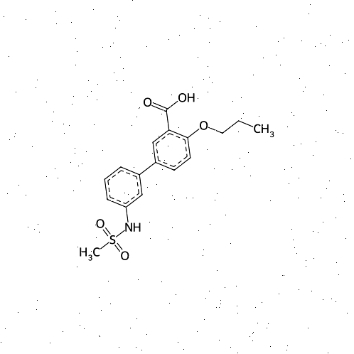 CCCOc1ccc(-c2cccc(NS(C)(=O)=O)c2)cc1C(=O)O